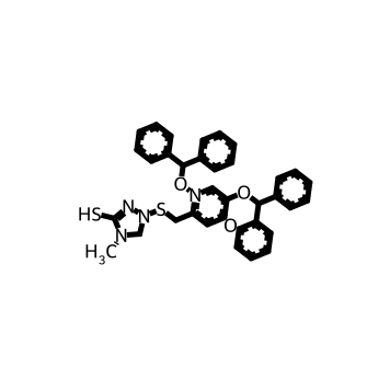 CN1CN(SCc2cc(=O)c(OC(c3ccccc3)c3ccccc3)cn2OC(c2ccccc2)c2ccccc2)N=C1S